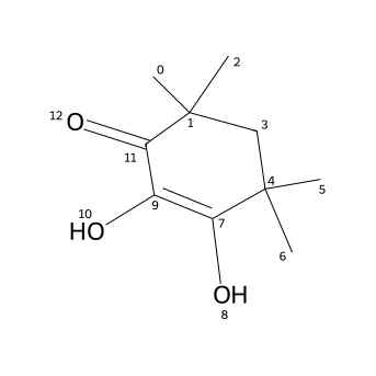 CC1(C)CC(C)(C)C(O)=C(O)C1=O